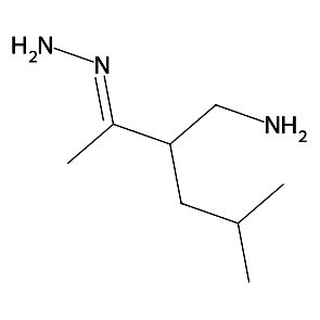 C/C(=N\N)C(CN)CC(C)C